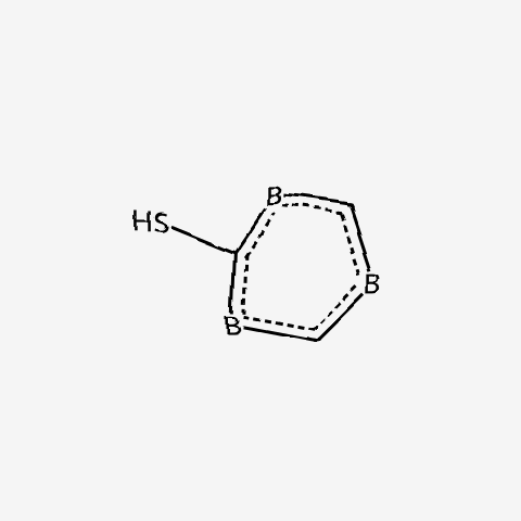 Sc1bcbcb1